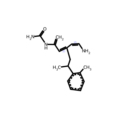 C=C(/C=C(\C=C/N)CC(C)c1ccccc1C)NC(N)=O